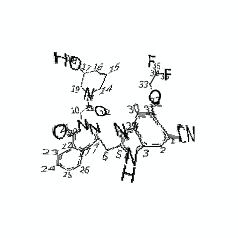 N#Cc1cc2[nH]c(Cc3nn(CC(=O)N4CCCC(O)C4)c(=O)c4ccccc34)nc2cc1OCC(F)F